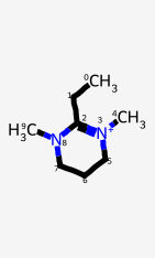 CCC1=[N+](C)CCCN1C